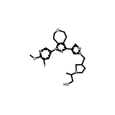 COc1ncc(-n2nc(-c3cnn(CC4CCN(C(C)CO)C4)c3)c3c2CCOCC3)cc1F